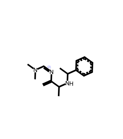 C=C(/N=C\N(C)C)C(C)NC(C)c1ccccc1